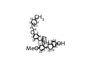 CCC(Cc1ccc(OCCN2CCC(C)CC2)cc1)Nc1cc(OC)ccc1C1CCc2cc(O)ccc2C1